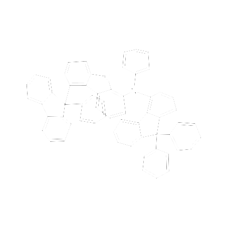 c1ccc(N(c2cccc3c2-c2ccccc2C3(c2ccccc2)c2ccccc2)c2cccc3c2oc2cccc(C4(c5ccccc5)c5ccccc5-c5ccccc54)c23)cc1